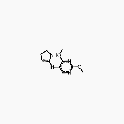 COc1ncc(NC2=NCCN2)c(OC)n1